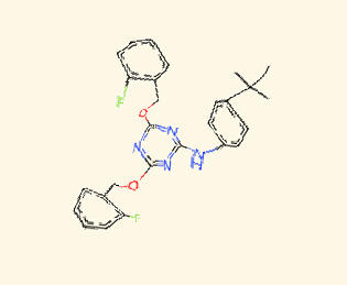 CC(C)(C)c1ccc(Nc2nc(OCc3ccccc3F)nc(OCc3ccccc3F)n2)cc1